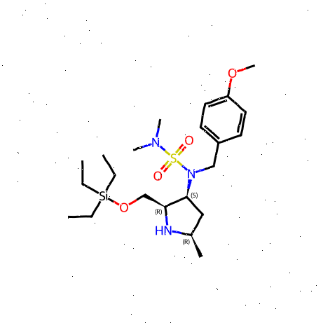 CC[Si](CC)(CC)OC[C@@H]1N[C@H](C)C[C@@H]1N(Cc1ccc(OC)cc1)S(=O)(=O)N(C)C